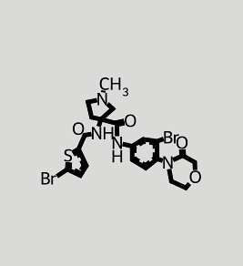 CN1CCC(NC(=O)c2ccc(Br)s2)(C(=O)Nc2ccc(N3CCOCC3=O)c(Br)c2)C1